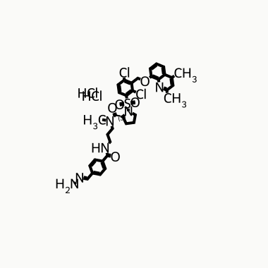 Cc1cc(C)c2cccc(OCc3c(Cl)ccc(S(=O)(=O)N4CCC[C@H]4C(=O)N(C)CCCNC(=O)c4ccc(C=NN)cc4)c3Cl)c2n1.Cl.Cl